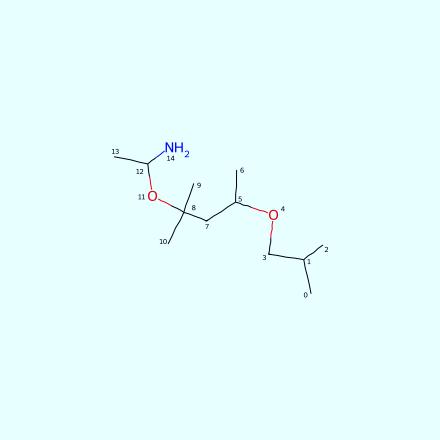 CC(C)COC(C)CC(C)(C)OC(C)N